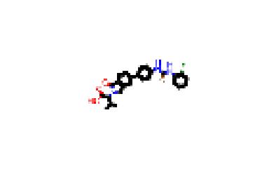 CC(C)C(C(=O)O)N1Cc2cc(-c3ccc(NC(=S)Nc4ccccc4F)cc3)ccc2C1=O